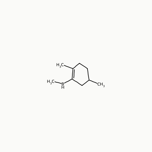 CBC1=C(C)CCC(C)C1